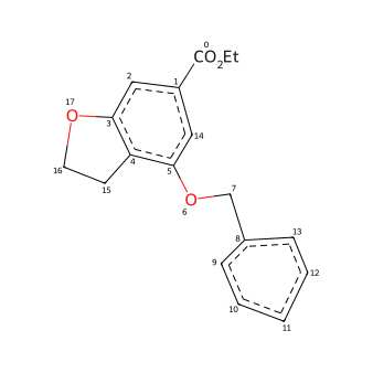 CCOC(=O)c1cc2c(c(OCc3ccccc3)c1)CCO2